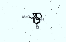 COCC12CNCCC1(c1ccc(Cl)cc1)C2